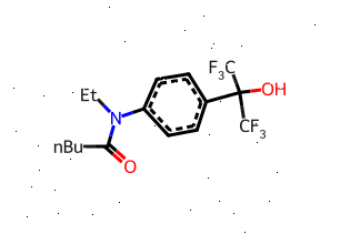 CCCCC(=O)N(CC)c1ccc(C(O)(C(F)(F)F)C(F)(F)F)cc1